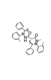 Cc1ccccc1N(NC(=O)CC(=O)N(C)N(C(=S)c1ccccc1)c1ccccc1C)C(=S)c1ccccc1